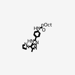 CCCCCCCCC(=O)Nc1ccc(-c2nn3nc(C)c(-n4cccn4)c3[nH]2)cc1